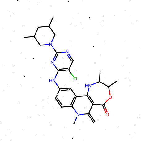 C=C1C2=C(NC(C)C(C)OC2=O)c2cc(Nc3nc(N4CC(C)CC(C)C4)ncc3Cl)ccc2N1C